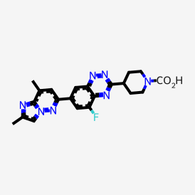 Cc1cn2nc(-c3cc(F)c4nc(C5CCN(C(=O)O)CC5)nnc4c3)cc(C)c2n1